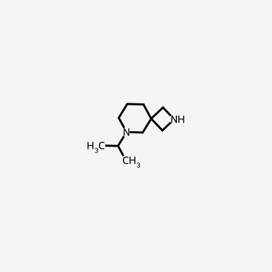 CC(C)N1CCCC2(CNC2)C1